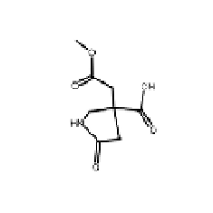 COC(=O)CC1(C(=O)O)CNC(=O)C1